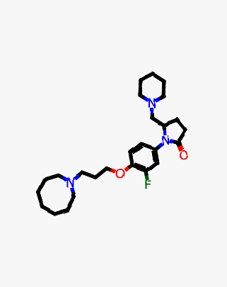 O=C1CCC(CN2CCCCC2)N1c1ccc(OCCCN2CCCCCCC2)c(F)c1